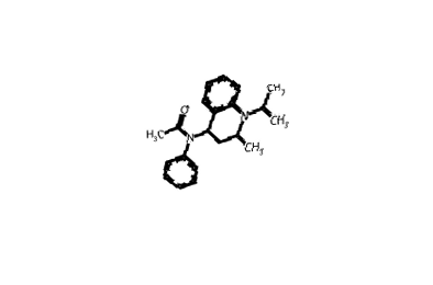 CC(=O)N(c1ccccc1)C1CC(C)N(C(C)C)c2ccccc21